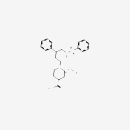 CCCCN[C@H]1C[C@@H](C(=O)OC)CCN1CCC(CN(C)S(=O)(=O)c1ccccc1)c1ccccc1